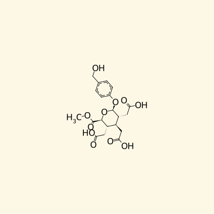 COC(=O)[C@H]1O[C@@H](Oc2ccc(CO)cc2)[C@H](CC(=O)O)[C@@H](CC(=O)O)[C@@H]1CC(=O)O